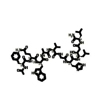 CC(=O)N[C@H](Cc1ccccc1)C(=O)N[C@@H](CCC(N)=O)C(=O)N[C@@H](Cc1c[nH]c2ccccc12)C(=O)NC(C)C(=O)N[C@H](C(=O)NCC(=O)N[C@@H](Cc1c[nH]cn1)C(=O)N[C@@H](CC(C)C)[C@@H](O)CC(=O)N[C@@H](CC(C)C)C(N)=O)C(C)C